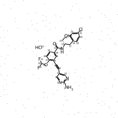 Cl.Nc1ncc(C#Cc2cc(C(=O)N[C@H](CO)Cc3ccc(Cl)cc3)ccc2OC(F)F)cn1